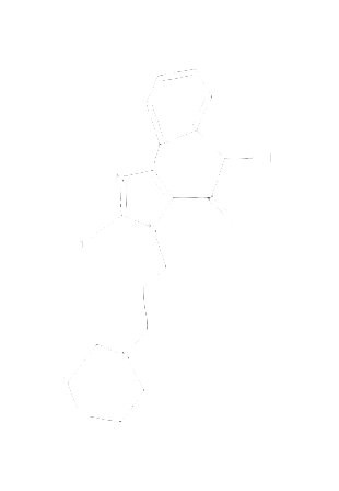 CC(C)c1nc2c(n1CCCN1CCOCC1)C(=O)C(O)c1ccccc1-2